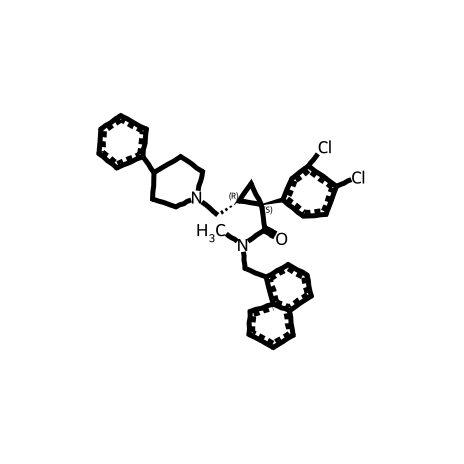 CN(Cc1cccc2ccccc12)C(=O)[C@@]1(c2ccc(Cl)c(Cl)c2)C[C@H]1CN1CCC(c2ccccc2)CC1